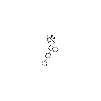 O=S(=O)(Oc1ccc(-c2ccc(-c3ccccc3)cc2)c2ccccc12)C(F)(F)F